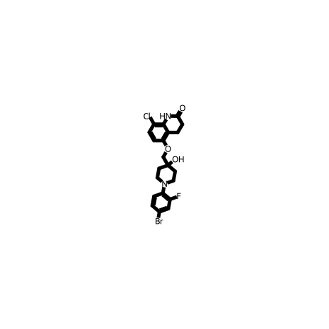 O=C1CCc2c(OCC3(O)CCN(c4ccc(Br)cc4F)CC3)ccc(Cl)c2N1